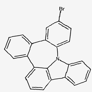 Brc1ccc2c(c1)-c1ccccc1-c1cccc3c4ccccc4n-2c13